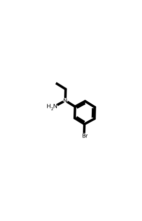 CCN(N)c1cccc(Br)c1